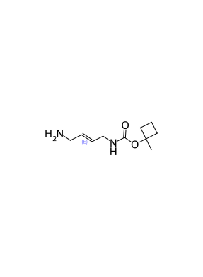 CC1(OC(=O)NC/C=C/CN)CCC1